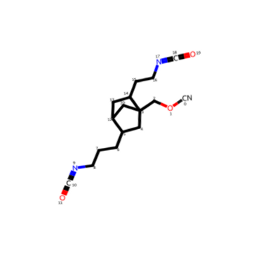 N#COCC12CC(CCCN=C=O)C(CC1CCN=C=O)C2